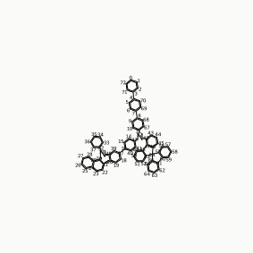 c1ccc(-c2ccc(-c3ccc(N(c4ccc(-c5ccc6c7ccc8ccccc8c7n(-c7ccccc7)c6c5)cc4)c4cccc5c4-c4ccccc4C54c5ccccc5-c5ccccc54)cc3)cc2)cc1